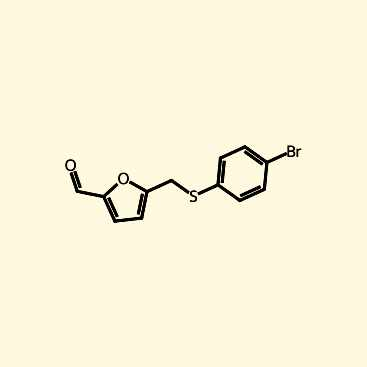 O=Cc1ccc(CSc2ccc(Br)cc2)o1